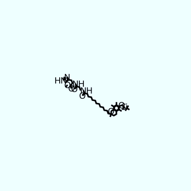 COC(=O)C(Cc1c[nH]cn1)NC(=O)CCNC(=O)CCCCCCCCCCCCC1(C)CCc2c(C)c(O[Si](C)(C)C(C)(C)C)c(C)c(C)c2O1